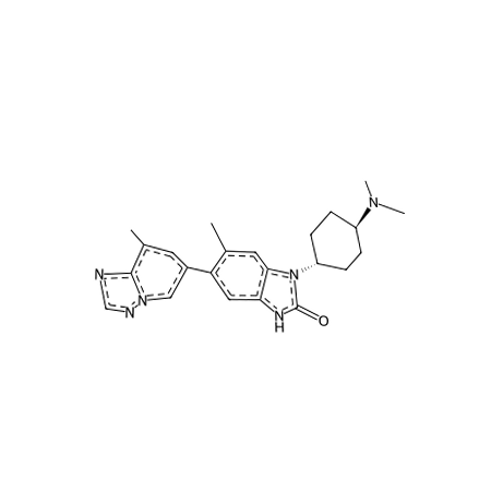 Cc1cc2c(cc1-c1cc(C)c3ncnn3c1)[nH]c(=O)n2[C@H]1CC[C@H](N(C)C)CC1